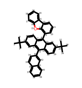 CC(C)(C)c1ccc2c(-c3cccc4c3oc3ccccc34)c3cc(C(C)(C)C)ccc3c(-c3ccc4ccccc4c3)c2c1